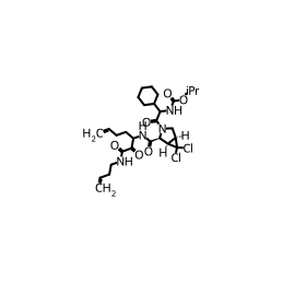 C=CCCNC(=O)C(=O)C(CCC=C)NC(=O)[C@@H]1[C@H]2[C@@H](CN1C(=O)C(NC(=O)OC(C)C)C1CCCCC1)C2(Cl)Cl